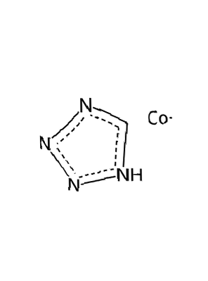 [Co].c1nnn[nH]1